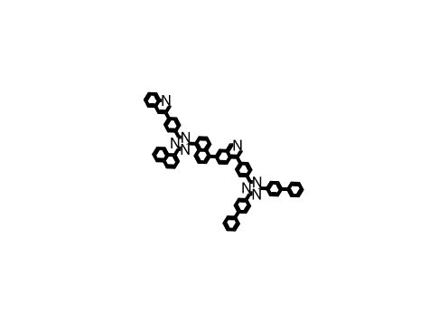 c1ccc(-c2ccc(-c3nc(-c4ccc(-c5ccccc5)cc4)nc(-c4ccc(-c5cncc6cc(-c7cccc8c(-c9nc(-c%10ccc(-c%11cnc%12ccccc%12c%11)cc%10)nc(-c%10cccc%11ccccc%10%11)n9)cccc78)ccc56)cc4)n3)cc2)cc1